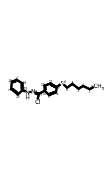 CCCCCCSc1ccc(C(Cl)=NNc2ccccc2)cc1